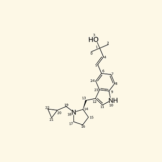 CC(C)(O)C=Cc1ccc2[nH]cc(C[C@H]3CCCN3CC3CC3)c2c1